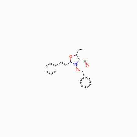 CCC1OC(C=Cc2ccccc2)N(OCc2ccccc2)C1C=O